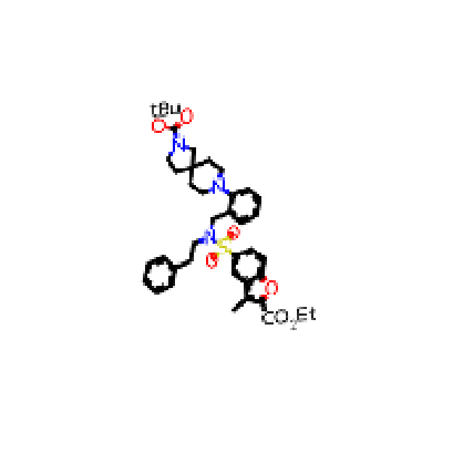 CCOC(=O)c1oc2ccc(S(=O)(=O)N(CCc3ccccc3)Cc3ccccc3N3CCC4(CCN(C(=O)OC(C)(C)C)C4)CC3)cc2c1C